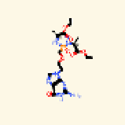 CCOC(=O)[C@H](C)NP(=O)(COCCn1cnc2c(=O)[nH]c(N)nc21)N[C@@H](C)C(=O)OCC